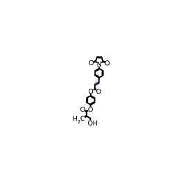 C=C(CO)C(=O)Oc1ccc(OC(=O)/C=C/c2ccc(N3C(=O)C=CC3=O)cc2)cc1